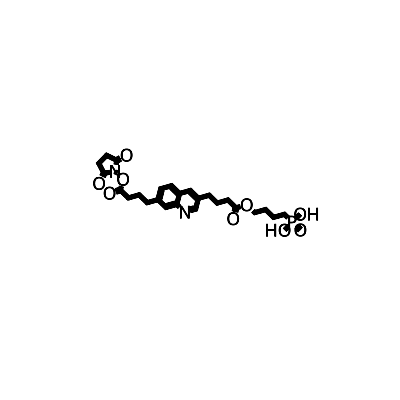 O=C(CCCc1cnc2cc(CCCC(=O)ON3C(=O)CCC3=O)ccc2c1)OCCCCP(=O)(O)O